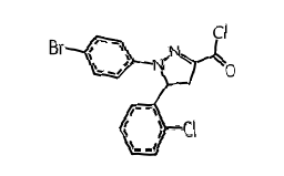 O=C(Cl)C1=NN(c2ccc(Br)cc2)C(c2ccccc2Cl)C1